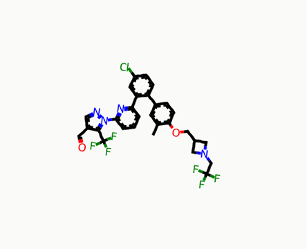 Cc1cc(-c2ccc(Cl)cc2-c2cccc(-n3ncc(C=O)c3C(F)(F)F)n2)ccc1OCC1CN(CC(F)(F)F)C1